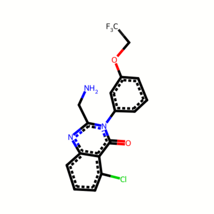 NCc1nc2cccc(Cl)c2c(=O)n1-c1cccc(OCC(F)(F)F)c1